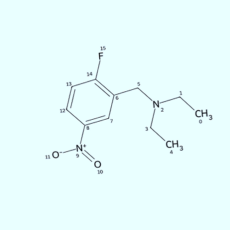 CCN(CC)Cc1cc([N+](=O)[O-])ccc1F